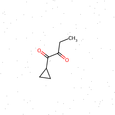 CCC(=O)C(=O)C1CC1